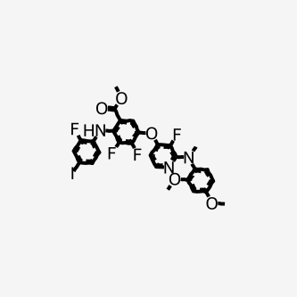 COC(=O)c1cc(Oc2ccnc(N(C)c3ccc(OC)cc3OC)c2F)c(F)c(F)c1Nc1ccc(I)cc1F